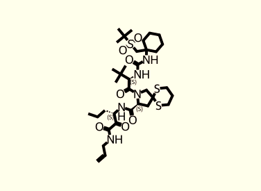 C=CCNC(=O)C(=O)[C@H](CCC)NC(=O)[C@@H]1CC2(CN1C(=O)[C@@H](NC(=O)NC1(CS(=O)(=O)C(C)(C)C)CCCCC1)C(C)(C)C)SCCCS2